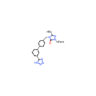 CCCCCn1nc(CCCC)n(Cc2ccc(-c3cccc(-c4nnn[nH]4)c3)cc2)c1=O